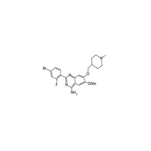 COc1cc2c(N)nc(-c3ccc(Br)cc3F)nc2cc1OCC1CCN(C)CC1